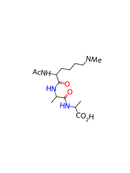 CNCCCCC(NC(C)=O)C(=O)NC(C)C(=O)NC(C)C(=O)O